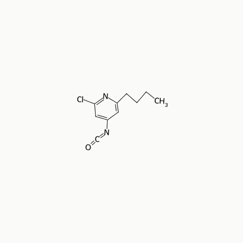 CCCCc1cc(N=C=O)cc(Cl)n1